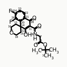 CC(C)(C)OC(=O)CNC(=O)C1=C(O)C2(CCOCC2)c2c(ccc(F)c2F)C1=O